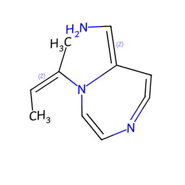 C/C=C(/C)N1C=CN=C=C/C1=C/N